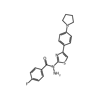 NN(C(=O)c1ccc(F)cc1)c1nc(-c2ccc(N3CCCC3)cc2)cs1